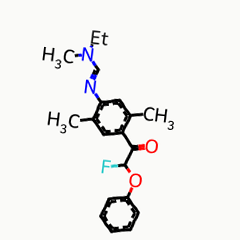 CCN(C)C=Nc1cc(C)c(C(=O)C(F)Oc2ccccc2)cc1C